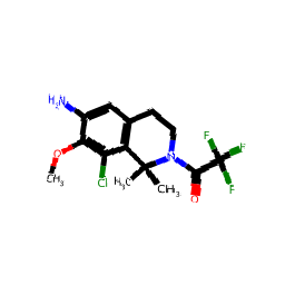 COc1c(N)cc2c(c1Cl)C(C)(C)N(C(=O)C(F)(F)F)CC2